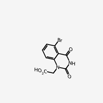 O=C(O)Cn1c(=O)[nH]c(=O)c2c(Br)cccc21